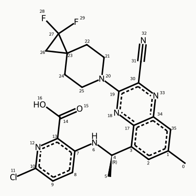 Cc1cc([C@@H](C)Nc2ccc(Cl)nc2C(=O)O)c2nc(N3CCC4(CC3)CC4(F)F)c(C#N)nc2c1